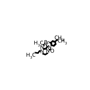 CCCCN1CCCn2c(=O)n(-c3ccc(C(C)C)cc3Br)c3nc(C)nc1c32